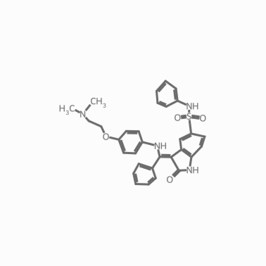 CN(C)CCOc1ccc(NC(=C2C(=O)Nc3ccc(S(=O)(=O)Nc4ccccc4)cc32)c2ccccc2)cc1